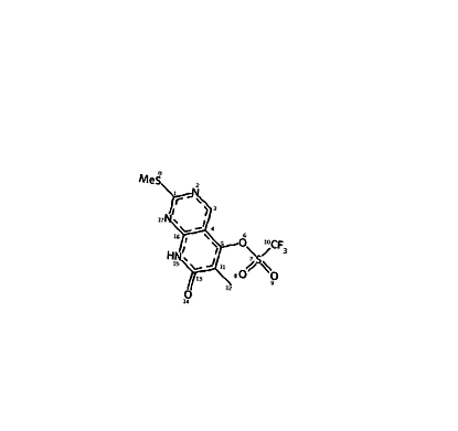 CSc1ncc2c(OS(=O)(=O)C(F)(F)F)c(C)c(=O)[nH]c2n1